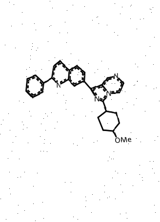 COC1CCC(c2nc(-c3ccc4ccc(-c5ccccc5)nc4c3)c3cnccn23)CC1